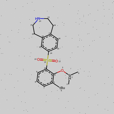 C[SiH](C)Oc1c(C(C)(C)C)cccc1S(=O)(=O)c1ccc2c(c1)CCNCC2